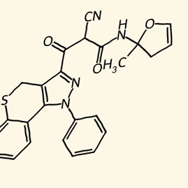 CC1(NC(=O)C(C#N)C(=O)c2nn(-c3ccccc3)c3c2CSc2ccccc2-3)CC=CO1